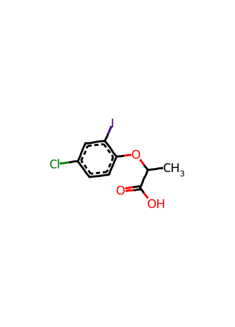 CC(Oc1ccc(Cl)cc1I)C(=O)O